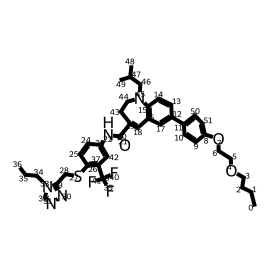 CCCCOCCOc1ccc(-c2ccc3c(c2)C=C(C(=O)Nc2ccc(SCc4nncn4CCC)c(C(F)(F)F)c2)CCN3CC(C)C)cc1